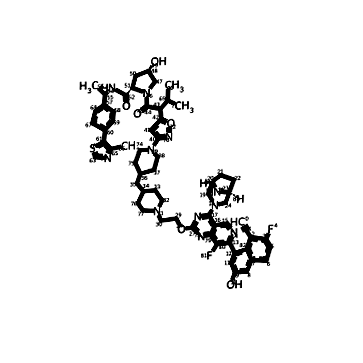 C#Cc1c(F)ccc2cc(O)cc(-c3ncc4c(N5C[C@H]6CC[C@@H](C5)N6)nc(OCCN5CCC(CC6CCN(c7cc(C(C(=O)N8C[C@H](O)C[C@H]8C(=O)NC(C)c8ccc(-c9scnc9C)cc8)C(C)C)on7)CC6)CC5)nc4c3F)c12